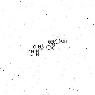 COc1ccc(-c2sc(NC(=O)N3CCCCCC3)nc2C)cc1S(=O)(=O)Nc1ccc(O)cc1